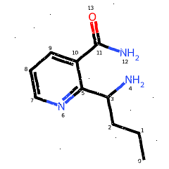 CCCC(N)c1ncccc1C(N)=O